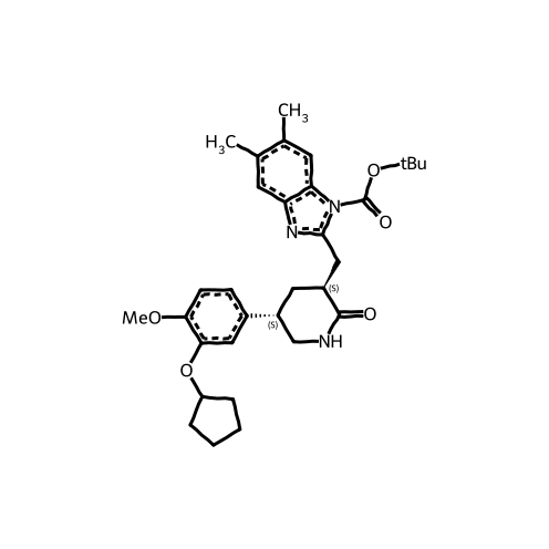 COc1ccc([C@H]2CNC(=O)[C@H](Cc3nc4cc(C)c(C)cc4n3C(=O)OC(C)(C)C)C2)cc1OC1CCCC1